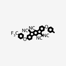 [C-]#[N+]/C(C#N)=C1\c2cc(Oc3ccc(C)cc3)ccc2-c2cc3c(cc21)-c1ccc(Oc2ccc(C(F)(F)F)cc2)cc1/C3=C(\C#N)[N+]#[C-]